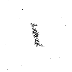 COOSN1CCN(c2ccc(OCC3CCN(C(=O)OC(C)(C)C)CC3)cn2)CC1